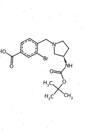 CC(C)(C)OC(=O)N[C@@H]1CCN(Cc2ccc(C(=O)O)cc2Br)C1